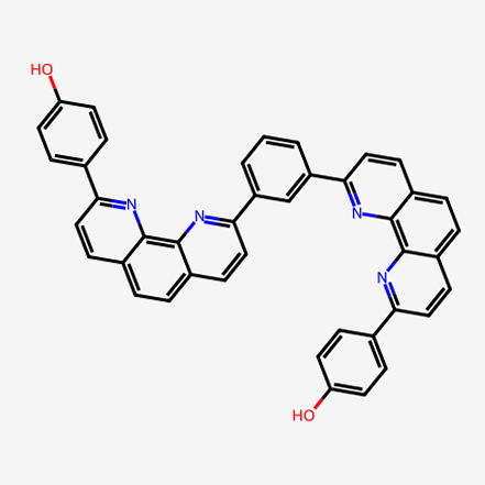 Oc1ccc(-c2ccc3ccc4ccc(-c5cccc(-c6ccc7ccc8ccc(-c9ccc(O)cc9)nc8c7n6)c5)nc4c3n2)cc1